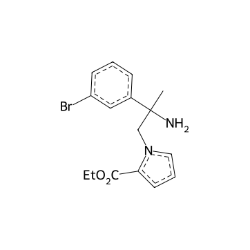 CCOC(=O)c1cccn1CC(C)(N)c1cccc(Br)c1